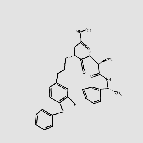 C[C@@H](NC(=O)[C@@H](NC(=O)[C@H](CCCc1ccc(Oc2ccccc2)c(F)c1)CC(=O)NO)C(C)(C)C)c1ccccc1